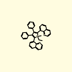 CC[Si]1(C)C(c2cccc3cccnc23)=C(c2ccccc2)C(c2ccccc2)=C1c1cccc2cccnc12